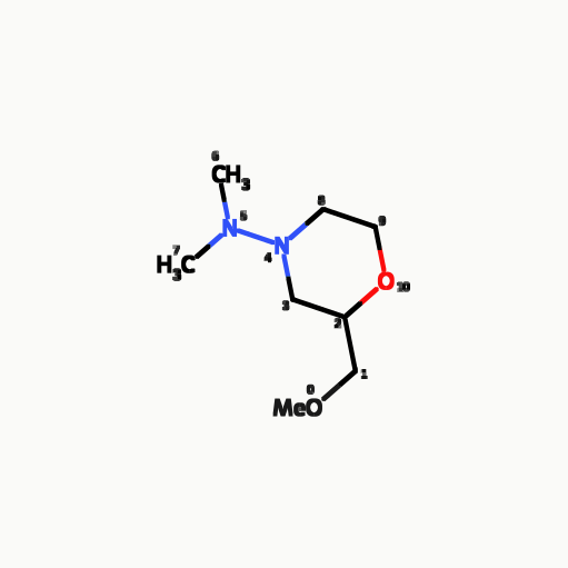 COCC1CN(N(C)C)CCO1